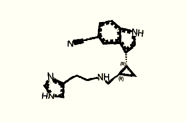 N#Cc1ccc2[nH]cc([C@@H]3C[C@H]3CNCCc3c[nH]cn3)c2c1